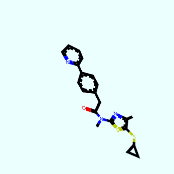 Cc1nc(N(C)C(=O)Cc2ccc(-c3ccccn3)cc2)sc1SC1CC1